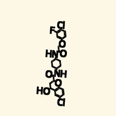 O=C(COc1ccc(Cl)c(F)c1)NC1CCC(NC(=O)C2CC(O)c3cc(Cl)ccc3O2)CC1